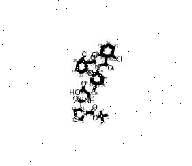 CC(C)(C)OC(=O)N1CSC[C@@H]1C(=O)N[C@@H](Cc1ccc(N(C(=O)c2c(Cl)cccc2Cl)C(=O)c2c(Cl)cccc2Cl)nc1)C(=O)O